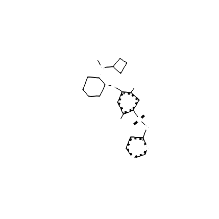 CN(C1CCC1)[C@H]1C[C@@H](C(F)(F)F)CC[C@@H]1Nc1cc(F)c(S(=O)(=O)Nc2ccncn2)cc1Cl